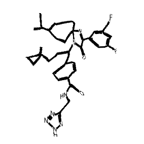 CC(C)C1CCC2(CC1)N=C(c1cc(F)cc(F)c1)C(=O)N2C(CCC1(C)CC1)c1ccc(C(=O)NCc2nn[nH]n2)cc1